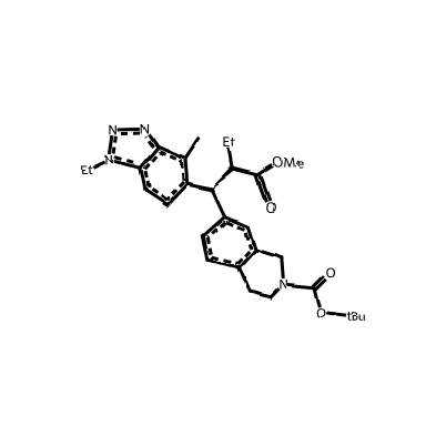 CCC(C(=O)OC)[C@@H](c1ccc2c(c1)CN(C(=O)OC(C)(C)C)CC2)c1ccc2c(nnn2CC)c1C